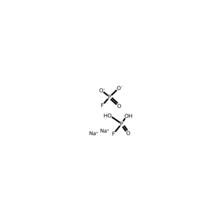 O=P(O)(O)F.O=P([O-])([O-])F.[Na+].[Na+]